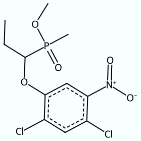 CCC(Oc1cc([N+](=O)[O-])c(Cl)cc1Cl)P(C)(=O)OC